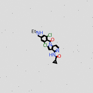 CCNCc1cc(Cl)c(C(=O)n2ccc3c(NC(=O)C4CC4)nccc32)c(Cl)c1